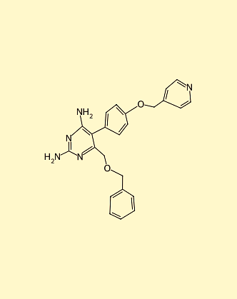 Nc1nc(N)c(-c2ccc(OCc3ccncc3)cc2)c(COCc2ccccc2)n1